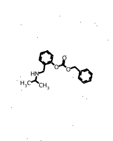 CC(C)NCc1ccccc1OC(=O)OCc1ccccc1